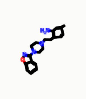 Cc1ccc(CCN2CCN(c3noc4ccccc34)CC2)c(N)c1